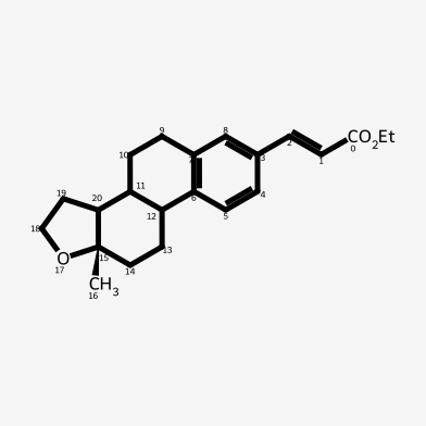 CCOC(=O)/C=C/c1ccc2c(c1)CCC1C2CC[C@]2(C)OCCC12